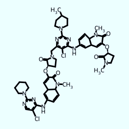 CC1CCN(c2nc(CN3CC[C@@H](OC4=CC5C=C(Nc6nc(N7CCCCC7)ncc6Cl)C=CC5N(C)C4=O)C3=O)c(Cl)c(NC3=CC4C=C(O[C@H]5CCN(C)C5=O)C(=O)N(C)C4C=C3)n2)CC1